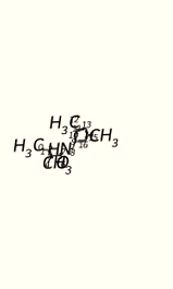 CCCC(C)C(=O)NCc1cc(C)cc(C)c1